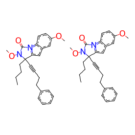 CCCCC1(C#CCCc2ccccc2)c2cc3cc(OC)ccc3n2C(=O)N1OC.CCCCC1(C#CCCc2ccccc2)c2cc3cc(OC)ccc3n2C(=O)N1OC